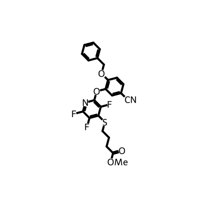 COC(=O)CCCSc1c(F)c(F)nc(Oc2cc(C#N)ccc2OCc2ccccc2)c1F